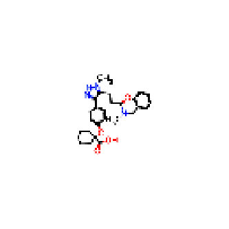 CN(Cc1ccccc1)C(=O)CCc1c(-c2ccc(OC3(C(=O)O)CCCCC3)cc2)nnn1C